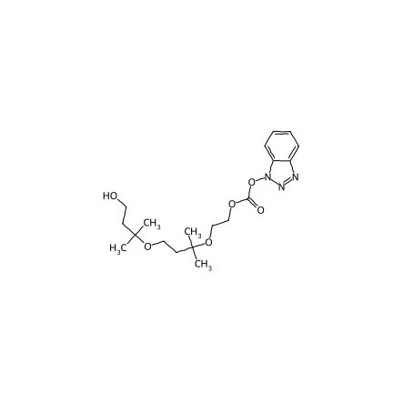 CC(C)(CCO)OCCC(C)(C)OCCOC(=O)On1nnc2ccccc21